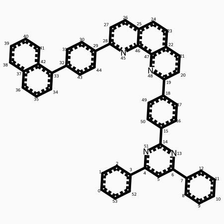 c1ccc(-c2cc(-c3ccccc3)nc(-c3ccc(-c4ccc5ccc6ccc(-c7ccc(-c8cccc9ccccc89)cc7)nc6c5n4)cc3)n2)cc1